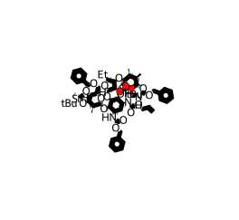 C=CCOC(=O)N[C@@H]1C[C@H](NC(=O)OCc2ccccc2)[C@@H](O[C@H]2O[C@@H]3COC(c4ccccc4)O[C@H]3[C@H](O[Si](C)(C)C(C)(C)C)[C@H]2C)[C@H](O[C@@H]2O[C@H](CC)[C@@H](O[C@H]3O[C@@H](CNC(=O)OCc4ccccc4)[C@@H](C)[C@H](C)[C@H]3C)[C@H]2O[Si](C)(C)C(C)(C)C)[C@H]1O